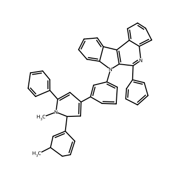 CC1C=C(C2C=C(c3cccc(-n4c5ccccc5c5c6ccccc6nc(-c6ccccc6)c54)c3)C=C(c3ccccc3)N2C)C=CC1